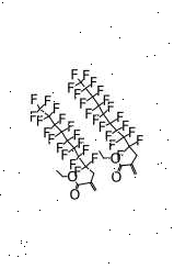 C=C(CC(F)(F)C(F)(F)C(F)(F)C(F)(F)C(F)(F)C(F)(F)C(F)(F)C(F)(F)C(F)(F)F)C(=O)OCC.C=C(CC(F)(F)C(F)(F)C(F)(F)C(F)(F)C(F)(F)C(F)(F)C(F)(F)C(F)(F)F)C(=O)OCC